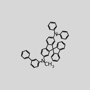 CN(c1cccc(-c2ccccc2)c1)c1ccc2c(c1)C1(c3ccccc3-c3ccccc31)c1cc(N(c3ccccc3)c3ccccc3)ccc1-2